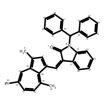 Cc1cc(/C=C2\C(=O)N(C(c3ccccc3)c3ccccc3)c3ccccc32)c2c(C)ccc(C(C)C)cc1-2